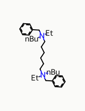 CCCC[N+](CC)(CCCCCC[N+](CC)(CCCC)Cc1ccccc1)Cc1ccccc1